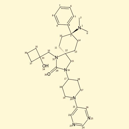 CN(C)[C@]1(c2ccccc2)CC[C@]2(CC1)CN(C1CCN(c3cncnc3)CC1)C(=O)N2CC1(O)CCC1